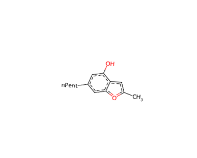 CCCCCc1cc(O)c2cc(C)oc2c1